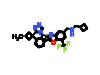 Cn1cnnc1[C@]1(c2cccc(-c3nc4cc(CNCC5CCC5)cc(C(F)(F)F)c4o3)c2)C[C@H](C)C1